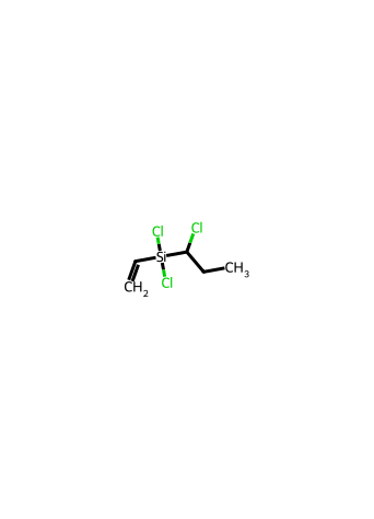 C=C[Si](Cl)(Cl)C(Cl)CC